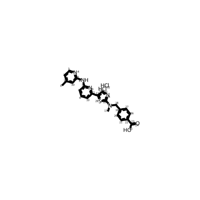 Cc1ccnc(Nc2cccc(-c3cnc(N(C)Cc4ccc(C(=O)O)cc4)s3)n2)c1.Cl.Cl